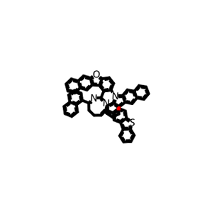 C1=C(c2ccc3sc4ccccc4c3c2)/N=C(c2c(-n3c4ccccc4c4cc5ccccc5cc43)ccc3oc4cc5ccccc5cc4c23)\N=C(\c2cccc3ccccc23)CC\1